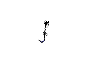 CCCCC/C=C\C/C=C\CCCCCCCC(=O)OCCCCCCCCCCC1=C(C)C(=O)C(OC)=C(OC)C1=O